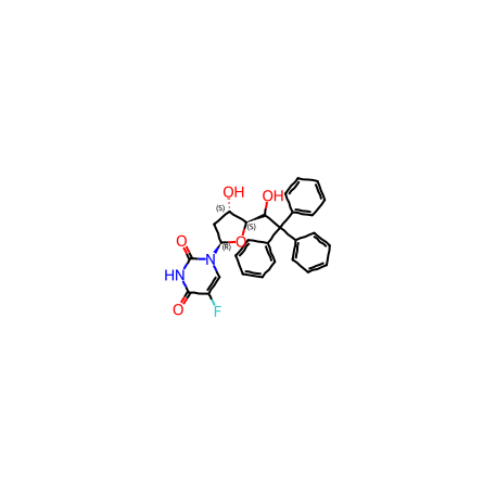 O=c1[nH]c(=O)n([C@H]2C[C@H](O)[C@@H](C(O)C(c3ccccc3)(c3ccccc3)c3ccccc3)O2)cc1F